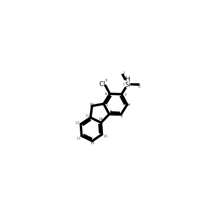 C[SiH](C)c1ccc2c(c1Cl)Cc1ccccc1-2